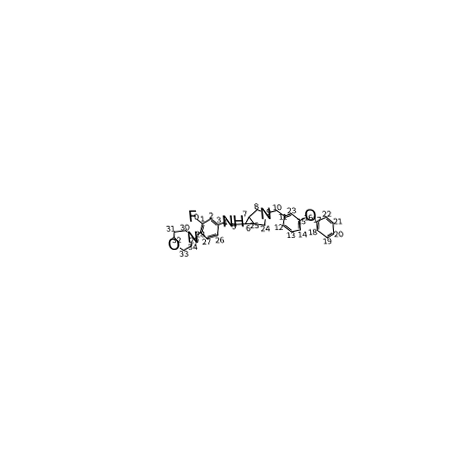 Fc1cc(NCC2C3CN(Cc4cccc(Oc5ccccc5)c4)CC23)ccc1N1CCOCC1